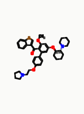 COc1cc(O[C@@H]2CCCC[C@H]2N2CCCCC2)cc(-c2ccc(OCCN3CCCC3)cc2)c1C(=O)c1csc2ccccc12